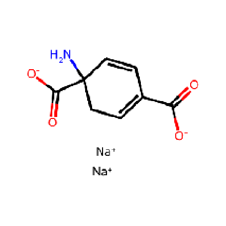 NC1(C(=O)[O-])C=CC(C(=O)[O-])=CC1.[Na+].[Na+]